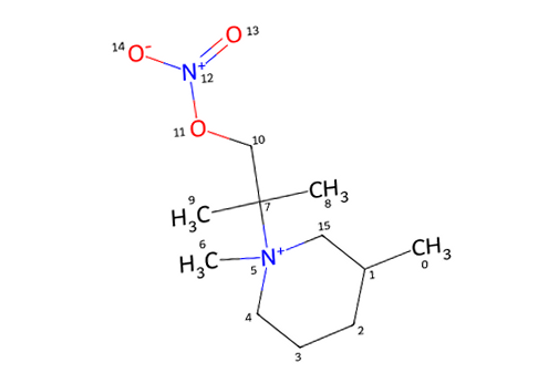 CC1CCC[N+](C)(C(C)(C)CO[N+](=O)[O-])C1